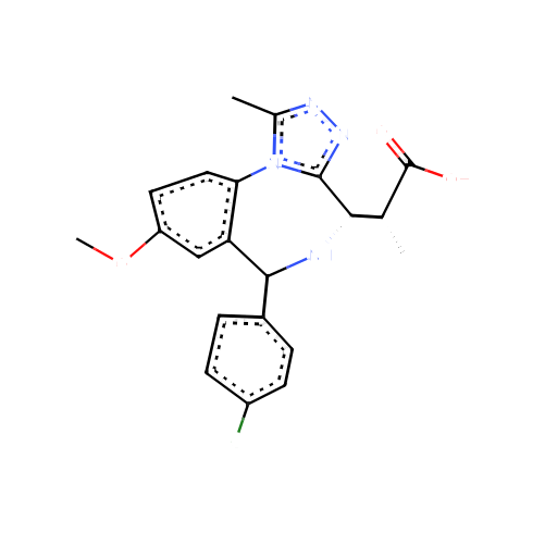 COc1ccc2c(c1)C(c1ccc(Cl)cc1)N[C@@H]([C@@H](C)C(=O)O)c1nnc(C)n1-2